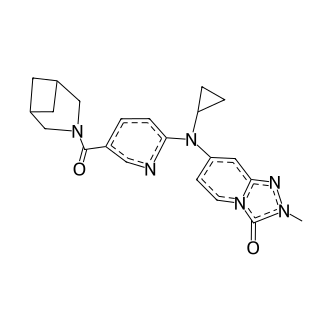 Cn1nc2cc(N(c3ccc(C(=O)N4CC5CC(C5)C4)cn3)C3CC3)ccn2c1=O